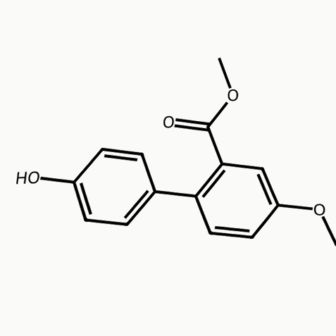 COC(=O)c1cc(OC)ccc1-c1ccc(O)cc1